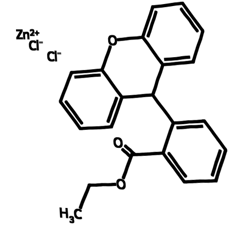 CCOC(=O)c1ccccc1C1c2ccccc2Oc2ccccc21.[Cl-].[Cl-].[Zn+2]